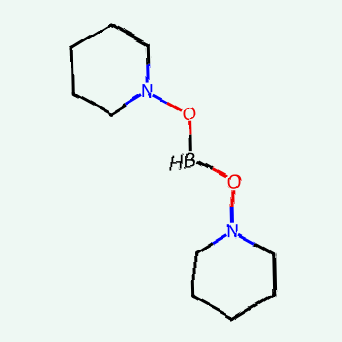 B(ON1CCCCC1)ON1CCCCC1